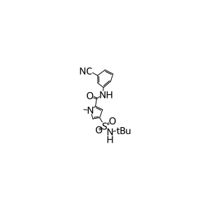 Cn1cc(S(=O)(=O)NC(C)(C)C)cc1C(=O)Nc1cccc(C#N)c1